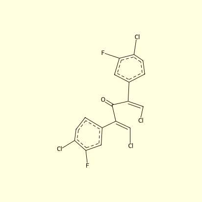 O=C(C(=CCl)c1ccc(Cl)c(F)c1)C(=CCl)c1ccc(Cl)c(F)c1